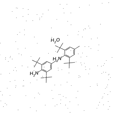 Cc1cc(C(C)(C)C)c(N)c(C(C)(C)C)c1.Cc1cc(C(C)(C)C)c(N)c(C(C)(C)C)c1.O